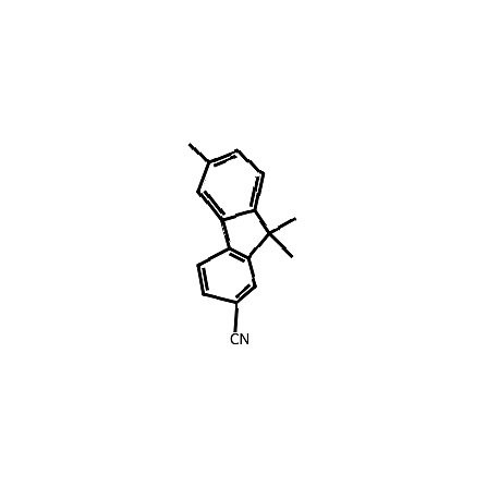 Cc1ccc2c(c1)-c1ccc(C#N)cc1C2(C)C